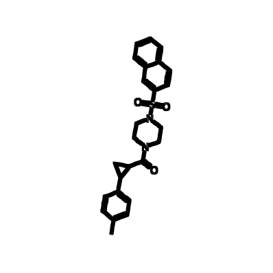 Cc1ccc(C2CC2C(=O)N2CCN(S(=O)(=O)c3ccc4ccccc4c3)CC2)cc1